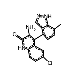 Cc1ccc(-c2c(N)c(=O)[nH]c3ccc(Cl)cc23)c2cn[nH]c12